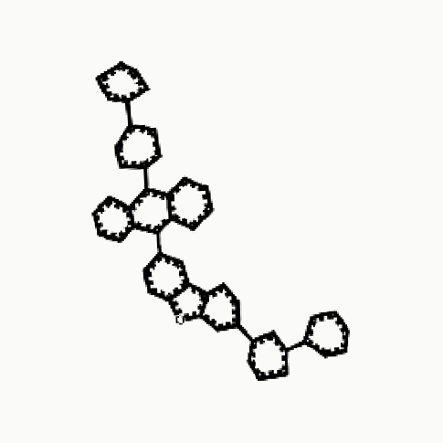 c1ccc(-c2ccc(-c3c4ccccc4c(-c4ccc5oc6cc(-c7cccc(-c8ccccc8)c7)ccc6c5c4)c4ccccc34)cc2)cc1